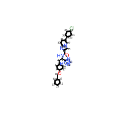 O=C(NC(Cc1ccc(OCc2ccccc2)cc1)c1nnn[nH]1)c1cn2cc(-c3ccc(Cl)cc3)ccc2n1